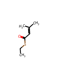 CCSC(=O)C=C(C)C